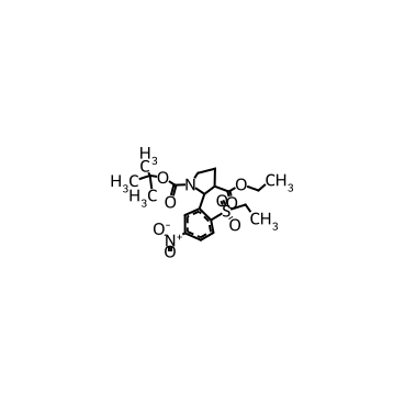 CCOC(=O)C1CCN(C(=O)OC(C)(C)C)C1c1cc([N+](=O)[O-])ccc1S(=O)(=O)CC